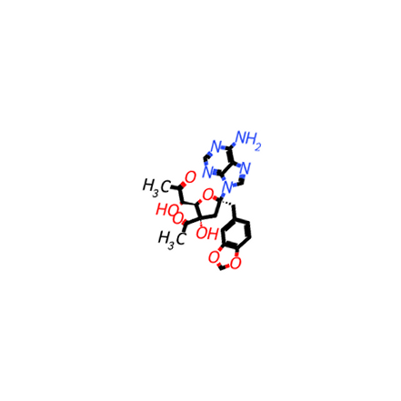 CC(=O)C(O)[C@H]1O[C@@](Cc2ccc3c(c2)OCO3)(n2cnc3c(N)ncnc32)C[C@@]1(O)C(C)=O